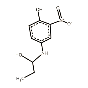 CCC(O)Nc1ccc(O)c([N+](=O)[O-])c1